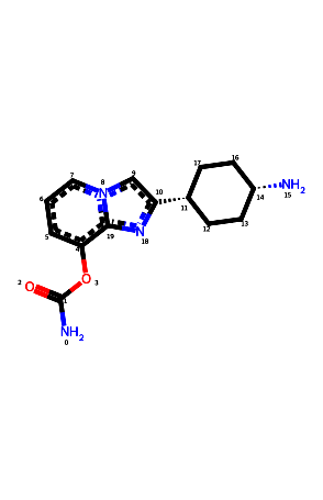 NC(=O)Oc1cccn2cc([C@H]3CC[C@@H](N)CC3)nc12